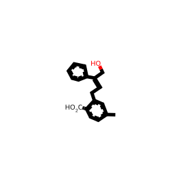 Cc1ccc(C(=O)O)c(CC=C(CO)c2ccccc2)c1